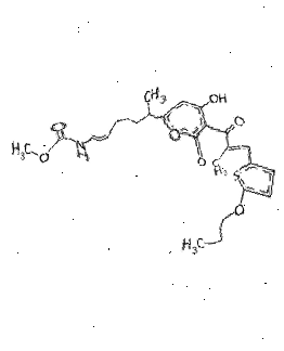 CCCOc1ccc(/C=C(\C)C(=O)c2c(O)cc(C(C)CC/C=C/NC(=O)OC)oc2=O)s1